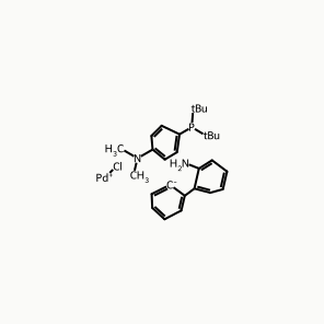 CN(C)c1ccc(P(C(C)(C)C)C(C)(C)C)cc1.Nc1ccccc1-c1[c-]cccc1.[Cl][Pd+]